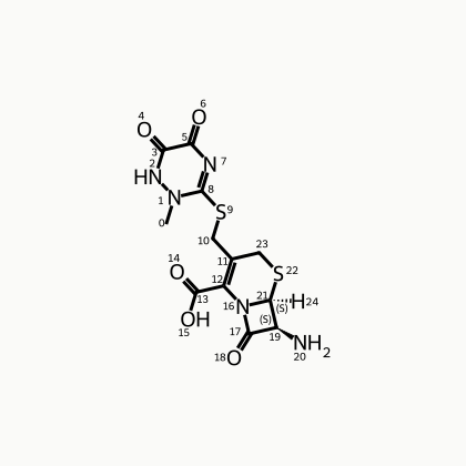 Cn1[nH]c(=O)c(=O)nc1SCC1=C(C(=O)O)N2C(=O)[C@H](N)[C@@H]2SC1